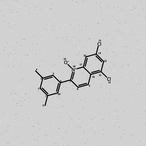 Cc1cc(C)cc(-c2ccc3c(Cl)cc(Cl)cc3[n+]2[O-])c1